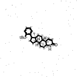 CC(C)(C)c1ccccc1C1CC[C@H]2[C@@H]3CCC4NC(=O)C=C[C@]4(C)[C@@H]3CC[C@]12C